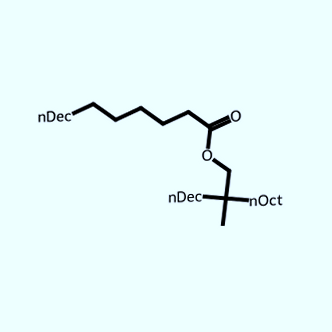 CCCCCCCCCCCCCCCC(=O)OCC(C)(CCCCCCCC)CCCCCCCCCC